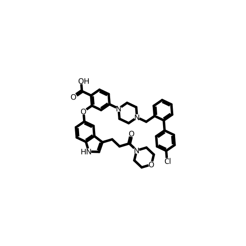 O=C(O)c1ccc(N2CCN(Cc3ccccc3-c3ccc(Cl)cc3)CC2)cc1Oc1ccc2[nH]cc(CCC(=O)N3CCOCC3)c2c1